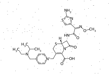 CCN(Cc1cc[n+](CC2=C(C(=O)O)N3C(=O)[C@@H](NC(=O)/C(=N\OC)c4csc(N)n4)[C@H]3SC2)cc1)C(C)C